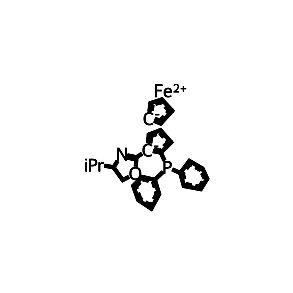 CC(C)C1COC([c-]2cccc2P(c2ccccc2)c2ccccc2)=N1.[Fe+2].c1cc[cH-]c1